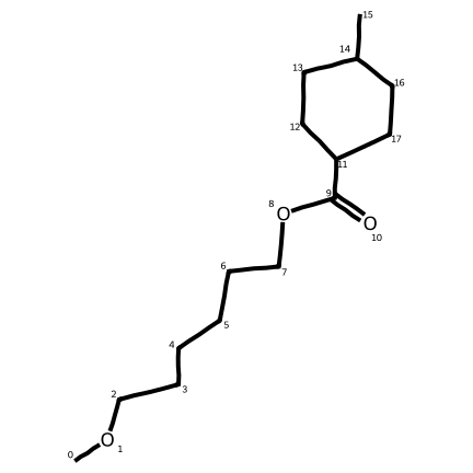 COCCCCCCOC(=O)C1CCC(C)CC1